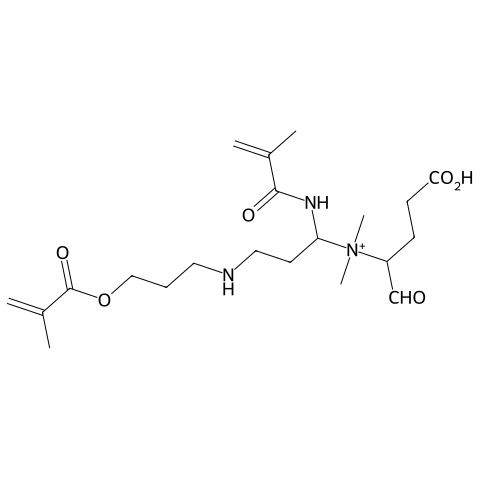 C=C(C)C(=O)NC(CCNCCCOC(=O)C(=C)C)[N+](C)(C)C(C=O)CCC(=O)O